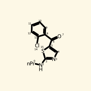 [CH2]CCNc1ncc(C(=O)c2ccccc2Cl)s1